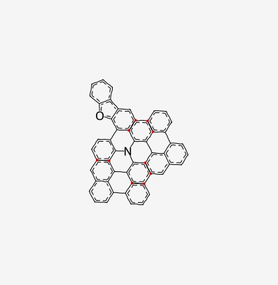 c1ccc(-c2cccc3cccc(-c4ccccc4N(c4ccccc4-c4cccc5c4oc4ccccc45)c4ccccc4-c4cccc5cccc(-c6ccccc6)c45)c23)cc1